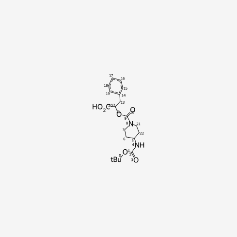 CC(C)(C)OC(=O)NC1CCN(C(=O)OC(Cc2ccccc2)C(=O)O)CC1